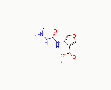 COC(=O)c1cocc1NC(=O)NN(C)C